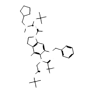 CC(C)(C)OC(=O)CN(C(=O)C(F)(F)F)c1c(OCc2ccccc2)cc2c(c1F)C[C@H](CN(CC1CCCC1)C(=O)OC(C)(C)C)N2C(=O)O